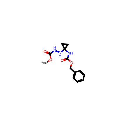 CC(C)(C)OC(=O)NNC1(NC(=O)OCc2ccccc2)CC1